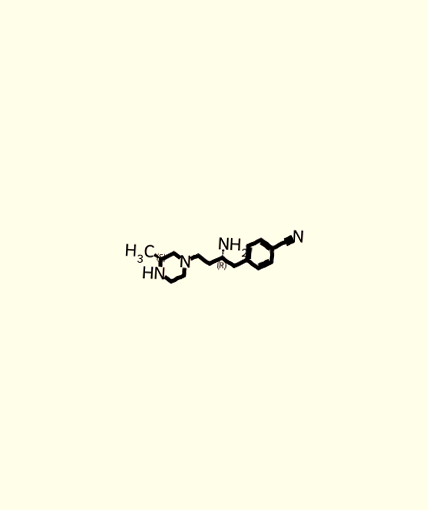 C[C@H]1CN(CC[C@H](N)Cc2ccc(C#N)cc2)CCN1